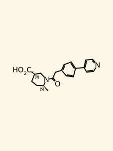 C[C@H]1CC[C@@H](C(=O)O)CN1C(=O)Cc1ccc(-c2ccncc2)cc1